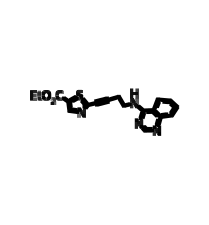 CCOC(=O)c1cnc(C#CCCNc2ncnc3ccccc23)s1